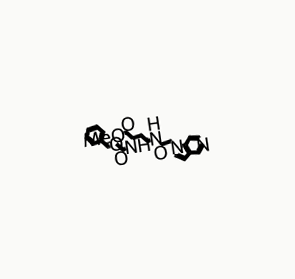 COC(=O)C(CCNC(=O)Cn1ccc2cnccc21)NC(=O)OCc1ccccc1